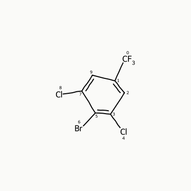 FC(F)(F)c1cc(Cl)c(Br)c(Cl)c1